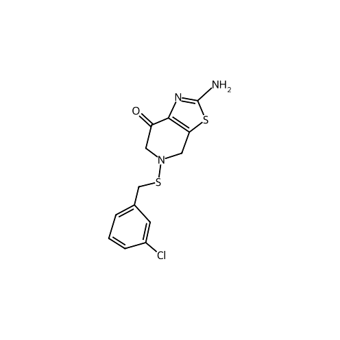 Nc1nc2c(s1)CN(SCc1cccc(Cl)c1)CC2=O